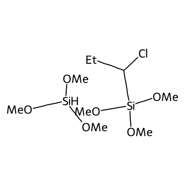 CCC(Cl)[Si](OC)(OC)OC.CO[SiH](OC)OC